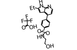 CCc1cc2c(-c3ccc(S(=O)(=O)NCCO)cc3)ccnc2[nH]1.O=C(O)C(F)(F)F